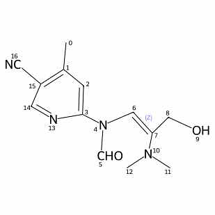 Cc1cc(N(C=O)/C=C(/CO)N(C)C)ncc1C#N